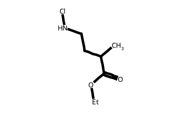 CCOC(=O)C(C)CCNCl